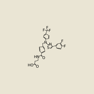 O=C(O)CCNC(=O)c1ccc(CN(c2ccc(C(F)(F)F)cc2)c2nc(-c3ccc(F)c(F)c3)cs2)cc1